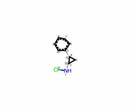 ClN[C@H]1C[C@H]1c1ccccc1